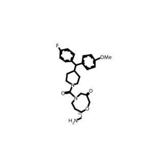 COc1ccc(C(c2ccc(F)cc2)C2CCN(C(=O)N3CC[C@@H](CN)OCC(=O)C3)CC2)cc1